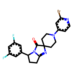 O=C1N2C(=NC13CCN(c1ccnc(Br)c1)CC3)CCC2c1cc(F)cc(F)c1